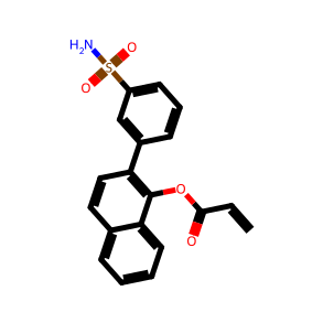 C=CC(=O)Oc1c(-c2cccc(S(N)(=O)=O)c2)ccc2ccccc12